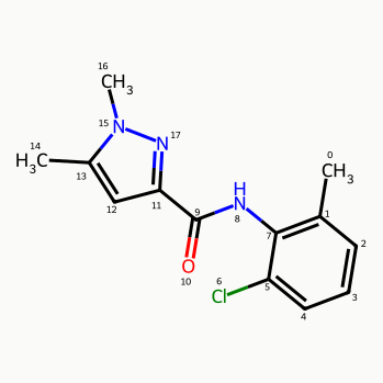 Cc1cccc(Cl)c1NC(=O)c1cc(C)n(C)n1